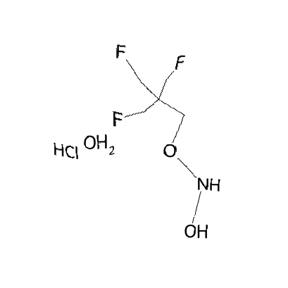 Cl.O.ONOCC(F)(F)F